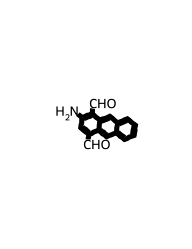 Nc1cc(C=O)c2cc3ccccc3cc2c1C=O